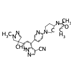 CN1CC(C)(c2cc(-c3ccc(N4CCC(N=S(C)(C)=O)CC4)nc3)c3c(C#N)cnn3c2)C=N1